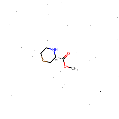 COC(=O)[C@@H]1CSCCN1